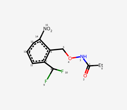 CCC(=O)NOCc1c(C(F)F)cccc1[N+](=O)[O-]